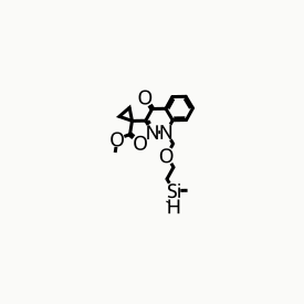 COC(=O)C1(c2nn(COCC[SiH](C)C)c3ccccc3c2=O)CC1